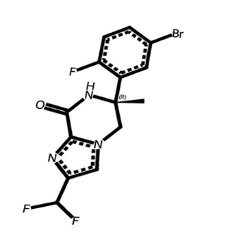 C[C@@]1(c2cc(Br)ccc2F)Cn2cc(C(F)F)nc2C(=O)N1